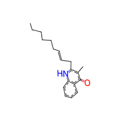 CCCCCCC=CCc1[nH]c2ccccc2c(=O)c1C